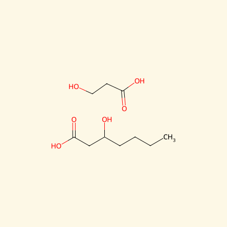 CCCCC(O)CC(=O)O.O=C(O)CCO